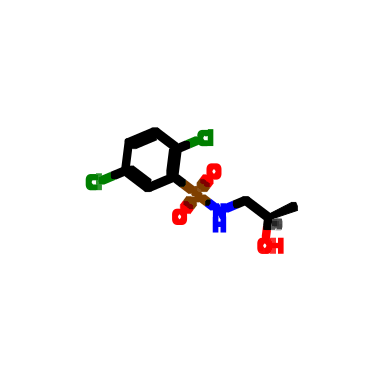 C[C@@H](O)CNS(=O)(=O)c1cc(Cl)ccc1Cl